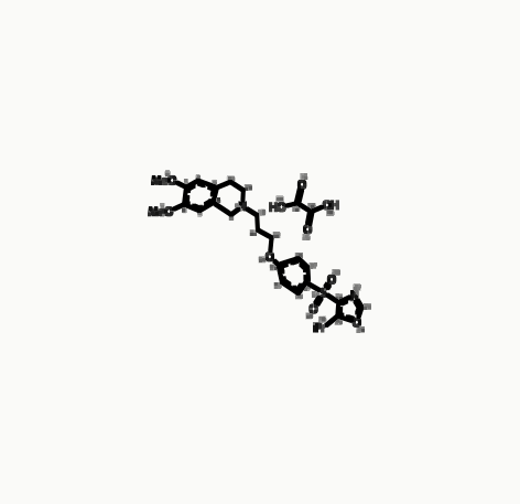 COc1cc2c(cc1OC)CN(CCCOc1ccc(S(=O)(=O)c3ncoc3C(C)C)cc1)CC2.O=C(O)C(=O)O